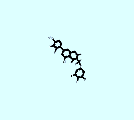 CCCc1ccc(-c2cc(Cl)c3c(F)c(C(F)(F)Oc4cc(F)c(F)c(F)c4)c(F)cc3c2)c(F)c1F